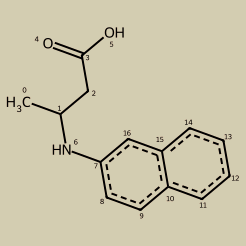 CC(CC(=O)O)Nc1ccc2ccccc2c1